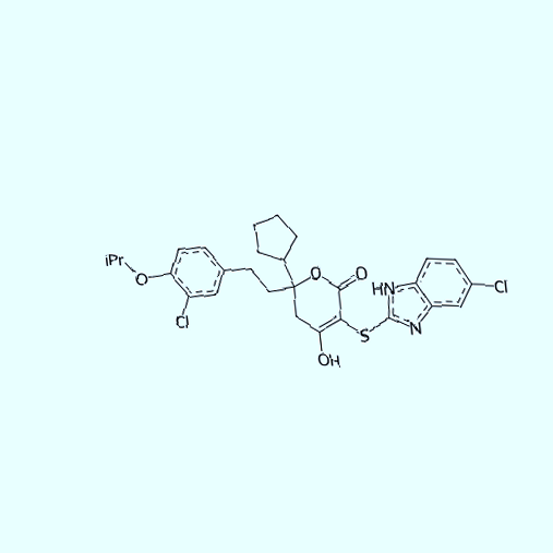 CC(C)Oc1ccc(CCC2(C3CCCC3)CC(O)=C(Sc3nc4cc(Cl)ccc4[nH]3)C(=O)O2)cc1Cl